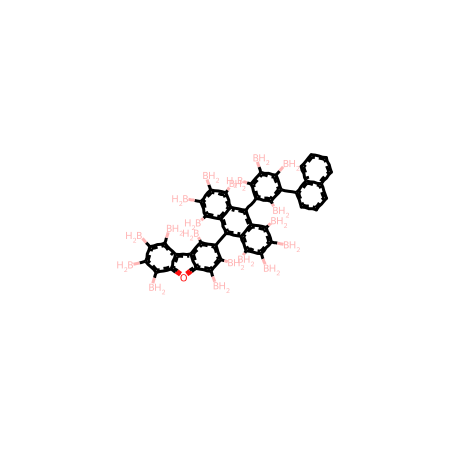 Bc1c(B)c(-c2cccc3ccccc23)c(B)c(-c2c3c(B)c(B)c(B)c(B)c3c(-c3c(B)c(B)c4oc5c(B)c(B)c(B)c(B)c5c4c3B)c3c(B)c(B)c(B)c(B)c23)c1B